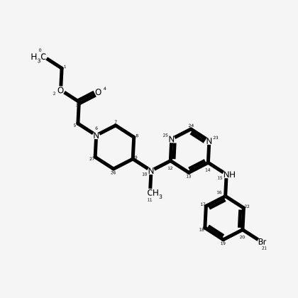 CCOC(=O)CN1CCC(N(C)c2cc(Nc3cccc(Br)c3)ncn2)CC1